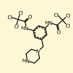 O=C(Nc1cc(CN2CCNCC2)cc(NC(=O)C(Cl)(Cl)Cl)c1)C(Cl)(Cl)Cl